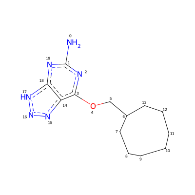 Nc1nc(OCC2CCCCCCC2)c2nn[nH]c2n1